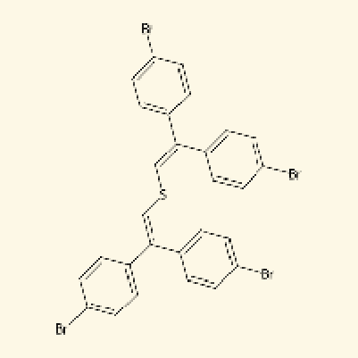 Brc1ccc(C(=CSC=C(c2ccc(Br)cc2)c2ccc(Br)cc2)c2ccc(Br)cc2)cc1